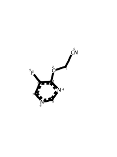 N#CCOc1n[c]ncc1F